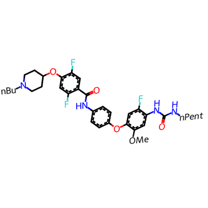 CCCCCNC(=O)Nc1cc(OC)c(Oc2ccc(NC(=O)c3cc(F)c(OC4CCN(CCCC)CC4)cc3F)cc2)cc1F